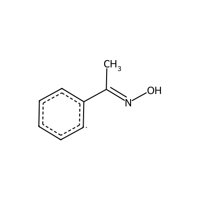 C/C(=N\O)c1[c]cccc1